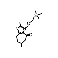 Cc1nc2c(n1COCC[Si](C)(C)C)C(=O)CC(C)CC2